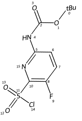 CC(C)(C)OC(=O)Nc1ccc(F)c(S(=O)(=O)Cl)n1